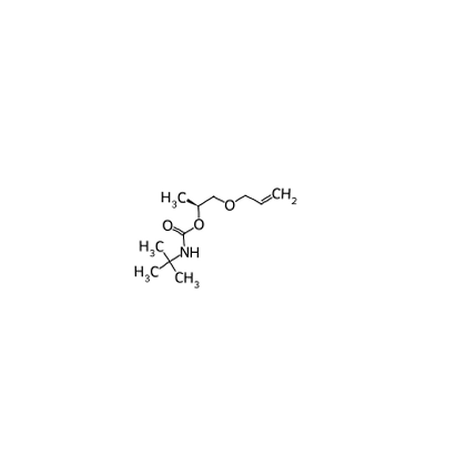 C=CCOC[C@H](C)OC(=O)NC(C)(C)C